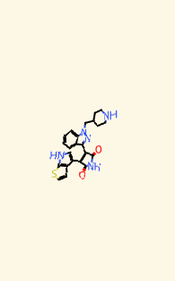 O=C1NC(=O)C(c2nn(CC3CCNCC3)c3ccccc23)=C1c1c[nH]c2sccc12